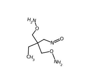 CCC(CN=O)(CON)CON